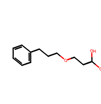 OC(O)CCOCCCc1ccccc1